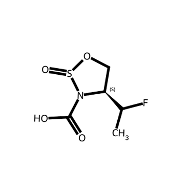 CC(F)[C@@H]1COS(=O)N1C(=O)O